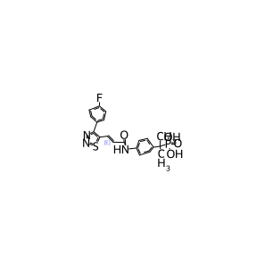 CC(C)(c1ccc(NC(=O)/C=C/c2snnc2-c2ccc(F)cc2)cc1)P(=O)(O)O